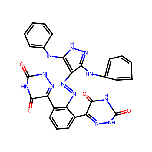 O=c1[nH]nc(-c2cccc(-c3n[nH]c(=O)[nH]c3=O)c2N=Nc2c(Nc3ccccc3)n[nH]c2Nc2ccccc2)c(=O)[nH]1